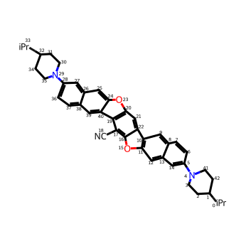 CC(C)C1CCN(c2ccc3cc4c(cc3c2)oc2c(C#N)c3c(cc24)oc2cc4cc(N5CCC(C(C)C)CC5)ccc4cc23)CC1